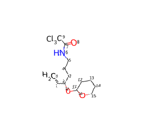 C=CC(CCCNC(=O)C(Cl)(Cl)Cl)OC1CCCCO1